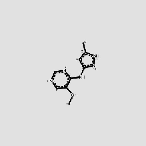 COc1cncnc1Nc1cc(C)[nH]n1